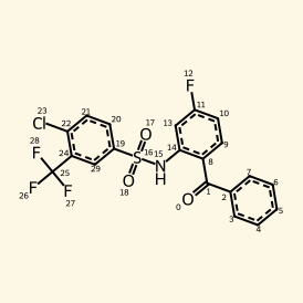 O=C(c1ccccc1)c1ccc(F)cc1NS(=O)(=O)c1ccc(Cl)c(C(F)(F)F)c1